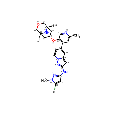 Cc1cc(-c2ccn3nc(Nc4cc(F)n(C)n4)cc3c2)c(O[C@H]2C[C@H]3COC[C@@H](C2)N3)cn1